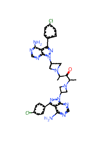 CC(C(=O)C(C)N1CC(n2nc(-c3ccc(Cl)cc3)c3c(N)ncnc32)C1)N1CC(n2nc(-c3ccc(Cl)cc3)c3c(N)ncnc32)C1